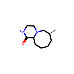 C[C@@H]1CCCCC2C(=O)NCCN2C1